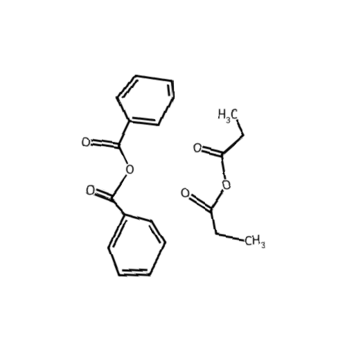 CCC(=O)OC(=O)CC.O=C(OC(=O)c1ccccc1)c1ccccc1